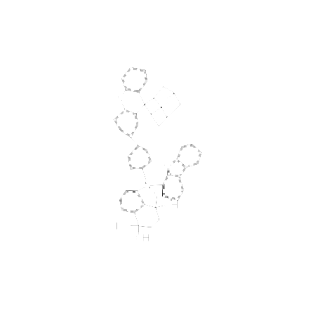 CC1(C)CCC(C)(C)c2c(N(c3ccc(-c4ccc5c(c4)C4(c6ccccc6S5)C5CC6CC7CC4C75C6)cc3)c3cccc4c3oc3ccccc34)cccc21